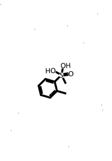 Cc1ccccc1S(C)(=O)(O)O